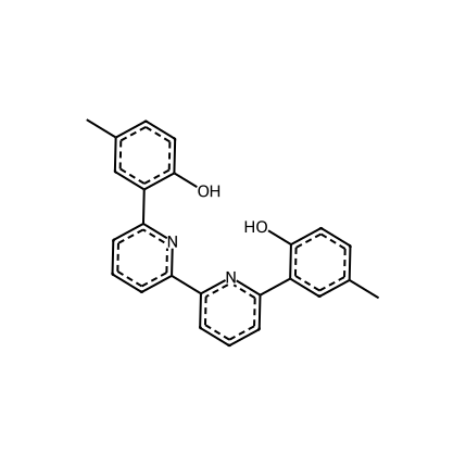 Cc1ccc(O)c(-c2cccc(-c3cccc(-c4cc(C)ccc4O)n3)n2)c1